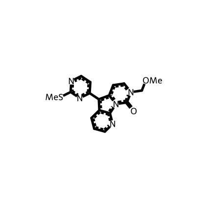 COCn1ccc2c(-c3ccnc(SC)n3)c3cccnc3n2c1=O